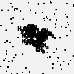 CC1=C[C@]23C(=O)[C@@H]([C@H](O[Si](C)(C)C(C)(C)C)[C@H](C)[C@@H](C)[C@@H]2C1)[C@H]1[C@@H](C[C@H]3C)C1(C)C